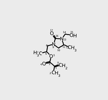 C=C(C)C(=O)OC(C)CN1CC(C)N(CO)C1=O